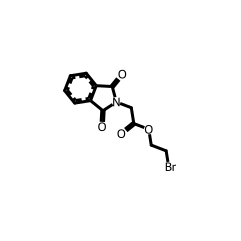 O=C(CN1C(=O)c2ccccc2C1=O)OCCBr